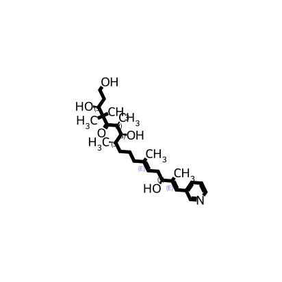 C/C(=C\C[C@H](O)/C(C)=C/c1cccnc1)CCC[C@H](C)[C@H](O)[C@@H](C)C(=O)C(C)(C)[C@@H](O)CCO